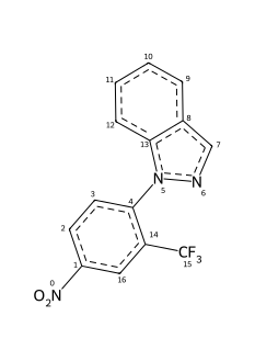 O=[N+]([O-])c1ccc(-n2ncc3ccccc32)c(C(F)(F)F)c1